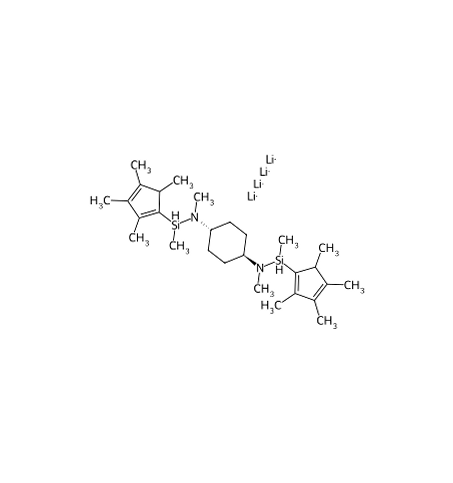 CC1=C(C)C(C)C([SiH](C)N(C)[C@H]2CC[C@H](N(C)[SiH](C)C3=C(C)C(C)=C(C)C3C)CC2)=C1C.[Li].[Li].[Li].[Li]